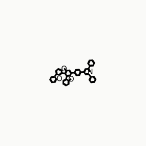 c1ccc(-c2cc(-c3ccc(-c4cc5oc6ccc7c8ccccc8oc7c6c5c5c4oc4ccccc45)cc3)cc(-c3ccccc3)n2)cc1